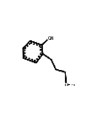 CCCCCCCCCc1cc[c]cc1C#N